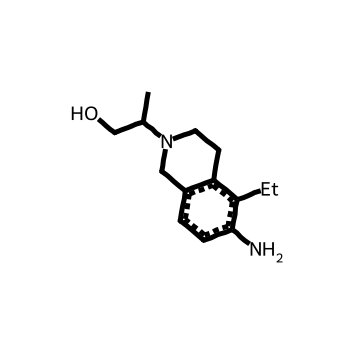 CCc1c(N)ccc2c1CCN(C(C)CO)C2